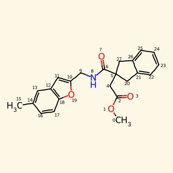 COC(=O)CC1(C(=O)NCc2cc3cc(C)ccc3o2)Cc2ccccc2C1